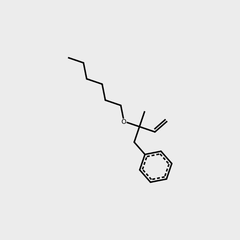 C=CC(C)(Cc1ccccc1)OCCCCCC